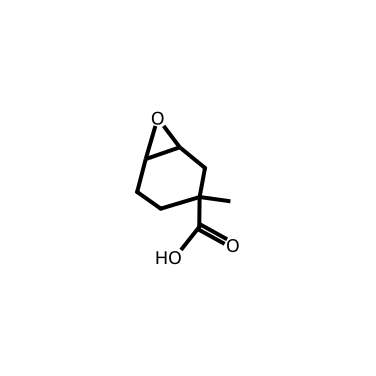 CC1(C(=O)O)CCC2OC2C1